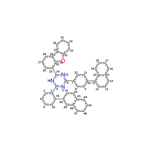 c1ccc(-c2nc(-c3ccc(-c4cccc5ccccc45)cc3)nc(-c3cccc4c3oc3ccccc34)n2)c(-c2ccc3ccccc3c2)c1